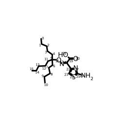 CCCCCC(CCCCC)(CCCCC)ON=C(C(=O)O)c1csc(N)n1